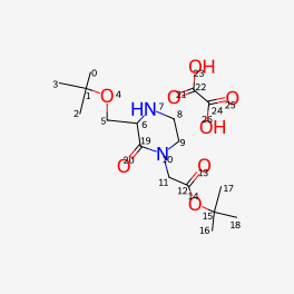 CC(C)(C)OCC1NCCN(CC(=O)OC(C)(C)C)C1=O.O=C(O)C(=O)O